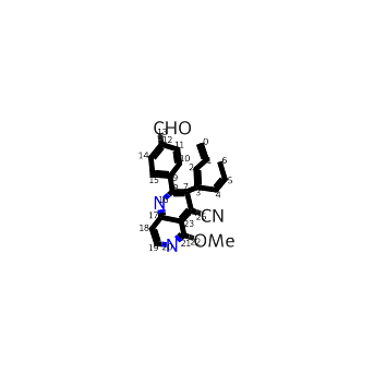 C=C/C=C(\C=C/C)c1c(-c2ccc(C=O)cc2)nc2ccnc(OC)c2c1C#N